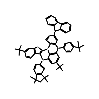 CC(C)(C)c1ccc(N2c3cc(-n4c5ccccc5c5ccccc54)ccc3B3c4sc5cc(C(C)(C)C)ccc5c4N(c4ccc5c(c4)C(C)(C)CC5(C)C)c4cc(C(C)(C)C)cc2c43)cc1